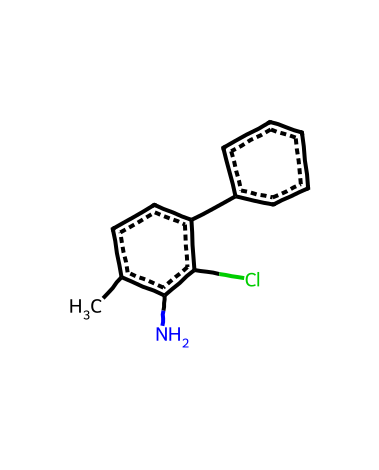 Cc1ccc(-c2ccccc2)c(Cl)c1N